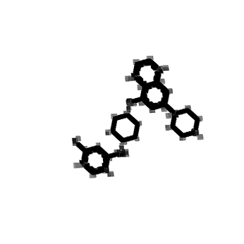 Fc1cc(N[C@H]2CC[C@@H](Oc3cc(N4CCOCC4)cc4nccnc34)CC2)ncn1